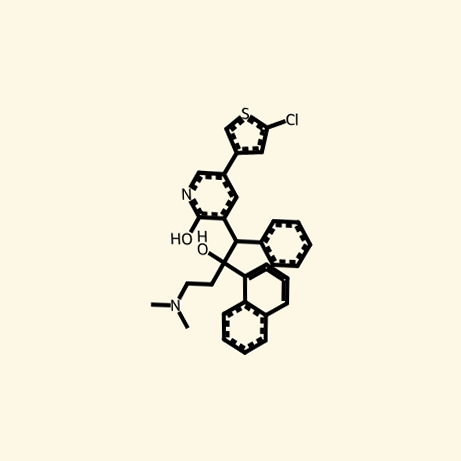 CN(C)CCC(O)(C1=C=C=Cc2ccccc21)C(c1ccccc1)c1cc(-c2csc(Cl)c2)cnc1O